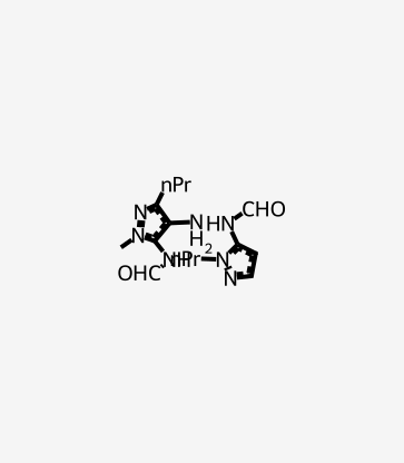 CCCc1nn(C)c(NC=O)c1N.CCCn1nccc1NC=O